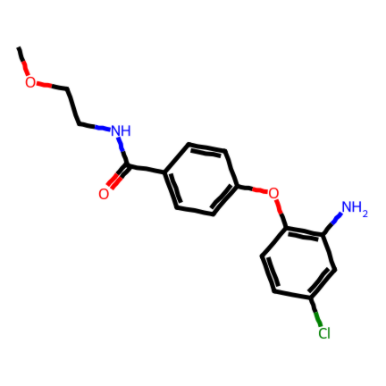 COCCNC(=O)c1ccc(Oc2ccc(Cl)cc2N)cc1